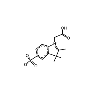 CC1=[N+](CC(=O)O)c2ccc(S(=O)(=O)[O-])cc2C1(C)C